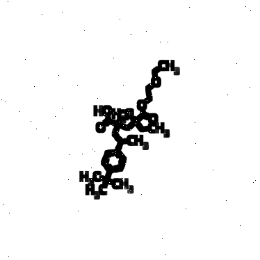 CCOCCOC(=O)C(C)(CC)CC(C)(CC(C)c1ccc(C(C)(C)C)cc1)C(=O)O